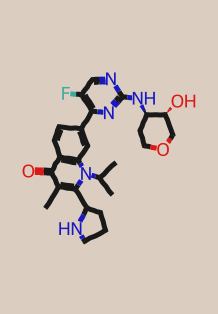 Cc1c(C2CCCN2)n(C(C)C)c2cc(-c3nc(N[C@@H]4CCOC[C@H]4O)ncc3F)ccc2c1=O